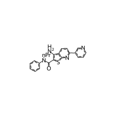 CCCN(C(=O)c1sc2nc(-c3cccnc3)ccc2c1N)c1ccccc1